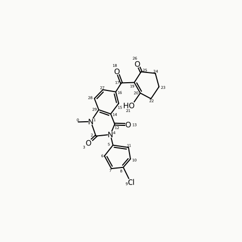 Cn1c(=O)n(-c2ccc(Cl)cc2)c(=O)c2cc(C(=O)C3=C(O)CCCC3=O)ccc21